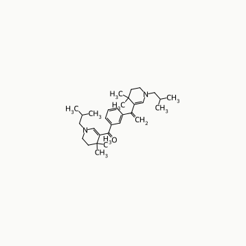 C=C(C1=CN(CC(C)C)CCC1(C)C)c1cccc(C(=O)C2=CN(CC(C)C)CCC2(C)C)c1